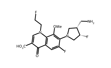 COc1c(N2C[C@H](CN)[C@H](F)C2)c(F)cc2c(=O)c(C(=O)O)cn(CCF)c12